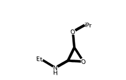 CCNC1OC1OC(C)C